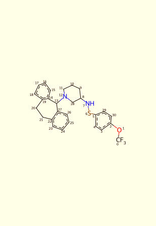 FC(F)(F)Oc1ccc(SNC2CCCN(C3c4ccccc4CCc4ccccc43)C2)cc1